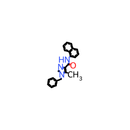 Cc1c(C(=O)Nc2cccc3ccccc23)ncn1Cc1ccccc1